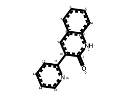 O=c1[nH]c2ccccc2cc1-c1ccccn1